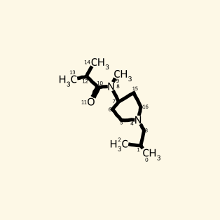 CC(C)CN1CCC(N(C)C(=O)C(C)C)CC1